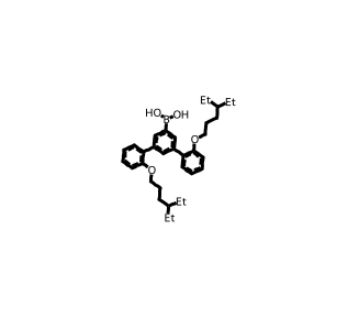 CCC(CC)CCCOc1ccccc1-c1cc(B(O)O)cc(-c2ccccc2OCCCC(CC)CC)c1